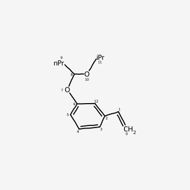 C=Cc1cccc(OC(CCC)OC(C)C)c1